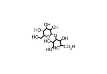 O=C(O)C(O)C(O)C(O[C@@H]1OC(CO)[C@H](O)[C@@H](O)C1O)C(O)CO